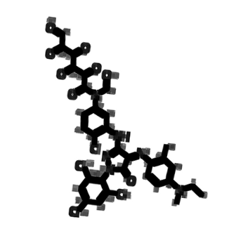 CCN(C)c1ccc(/N=C2\C(=O)N(c3c(Cl)cc(Cl)cc3Cl)N=C2Nc2cc(N(C=O)C(=O)C(=O)C(=O)C(=O)C(=O)C=O)ccc2Cl)c(C)c1